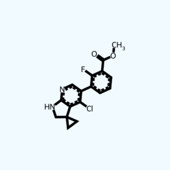 COC(=O)c1cccc(-c2cnc3c(c2Cl)C2(CC2)CN3)c1F